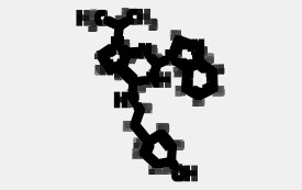 CC(C)n1cnc2c1=NC(n1cnc3ccccc31)NC=2NCCC1=CCC(O)C=C1